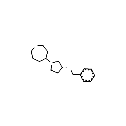 c1ccc(CO[C@@H]2CCN(C3CCCOCC3)C2)cc1